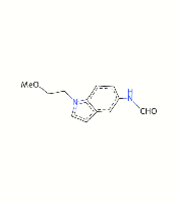 COCCn1ccc2cc(NC=O)ccc21